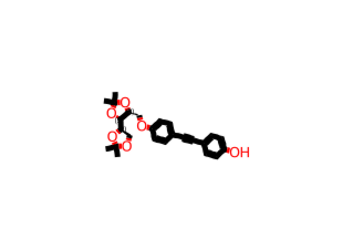 CC1(C)OC[C@H]([C@H]2OC(C)(C)O[C@@H]2COc2ccc(C#Cc3ccc(O)cc3)cc2)O1